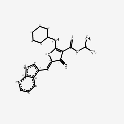 CC(C)OC(=O)C1=C(NC2CCCCC2)OC(=Cc2c[nH]c3ncccc23)C1=O